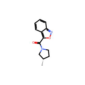 C[C@H]1CCN(C(=O)c2onc3ccccc23)C1